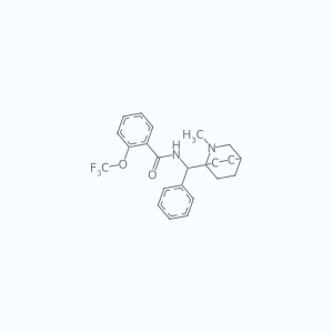 CN1CC2CCC1(C(NC(=O)c1ccccc1OC(F)(F)F)c1ccccc1)CC2